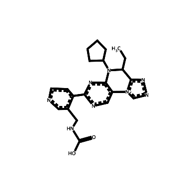 CCC1c2nncn2-c2cnc(-c3ccncc3CNC(=O)O)nc2N1C1CCCC1